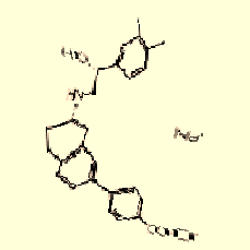 Cc1ccc([C@@H](O)CN[C@H]2CCc3ccc(-c4ccc(C(=O)[O-])cc4)cc3C2)cc1C.[Na+]